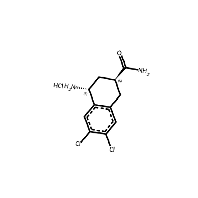 Cl.NC(=O)[C@H]1Cc2cc(Cl)c(Cl)cc2[C@H](N)C1